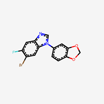 Fc1cc2ncn(-c3ccc4c(c3)OCO4)c2cc1Br